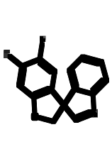 Fc1cc2c(cc1F)C1(C=Nc3ccccc31)CO2